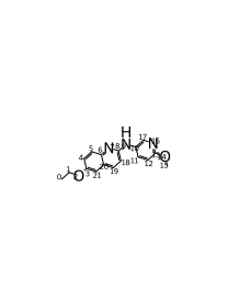 CCOc1ccc2nc(Nc3ccc(OC)nc3)ccc2c1